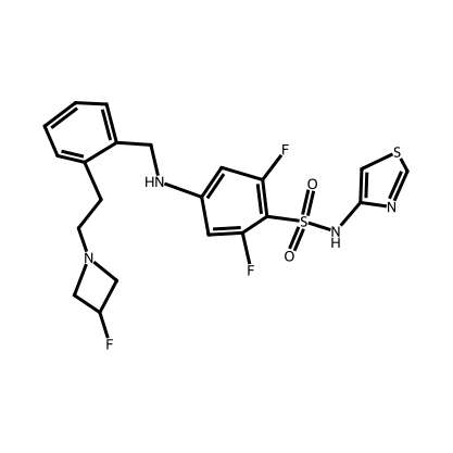 O=S(=O)(Nc1cscn1)c1c(F)cc(NCc2ccccc2CCN2CC(F)C2)cc1F